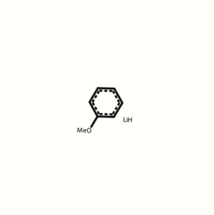 COc1c[c]ccc1.[LiH]